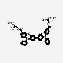 C=C(COC(=O)c1ccc(N(c2ccccc2)c2ccc(-c3ccc(N(c4ccccc4)c4ccc(C(=O)OCC(=C)C(=O)OCC)cc4)c(OC)c3)cc2OC)cc1)C(=O)OCC